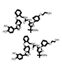 CSC(C)(C)c1cc(NC(=O)NCc2ccccc2Sc2ccc3nnc(-c4ccc(O)c(C#N)c4)n3c2)n(-c2ccc(OCCO)cc2)n1.CSC(C)(C)c1cc(NC(=O)NCc2ccccc2Sc2ccc3nnc(-c4ccc(O)c(C#N)c4)n3c2)n(-c2cccc(OCCO)c2)n1